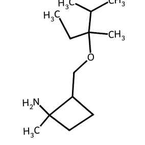 CCC(C)(OCC1CCC1(C)N)C(C)C